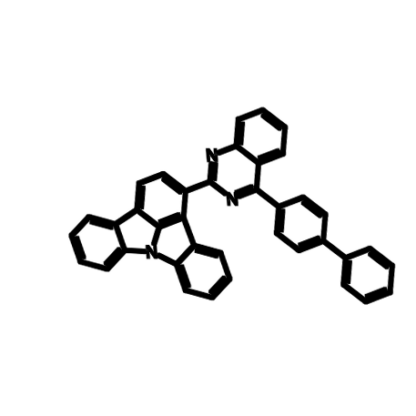 c1ccc(-c2ccc(-c3nc(-c4ccc5c6ccccc6n6c7ccccc7c4c56)nc4ccccc34)cc2)cc1